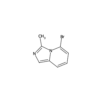 Cc1ncc2cccc(Br)n12